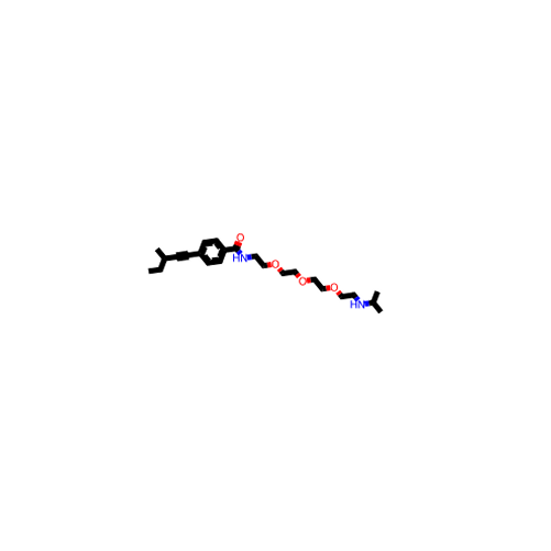 CCC(C)C#Cc1ccc(C(=O)NCCOCCOCCOCCNC(C)C)cc1